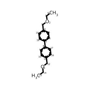 CCOCc1ccc(-c2ccc(COCC)cc2)cc1